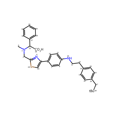 CN(Cc1nc(-c2ccc(NCCc3ccc(CC(C)(C)C)cc3)cc2)cs1)C(C(=O)O)c1ccccc1